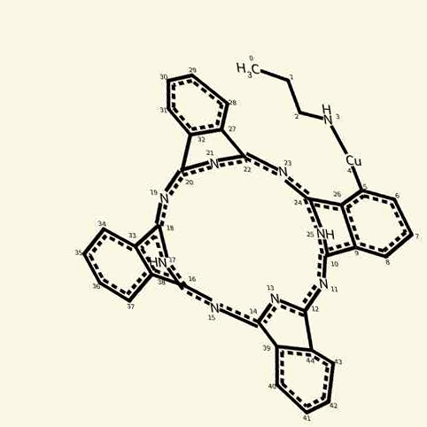 CCC[NH][Cu][c]1cccc2c3nc4nc(nc5[nH]c(nc6nc(nc([nH]3)c12)-c1ccccc1-6)c1ccccc51)-c1ccccc1-4